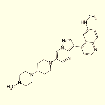 CNc1ccc2nccc(-c3cnn4cc(N5CCC(N6CCN(C)CC6)CC5)cnc34)c2c1